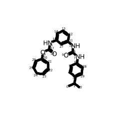 CC(C)c1ccc(NC(=O)Nc2cccc(NC(=O)OC3=CC=CCC=C3)c2)cc1